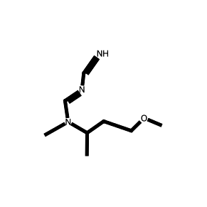 COCCC(C)N(C)/C=N/C=N